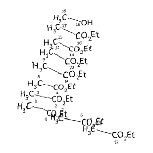 CCOC(C)=O.CCOC(C)=O.CCOC(C)=O.CCOC(C)=O.CCOC(C)=O.CCOC(C)=O.CCOC(C)=O.CCOC(C)=O.CCOC(C)=O.CO